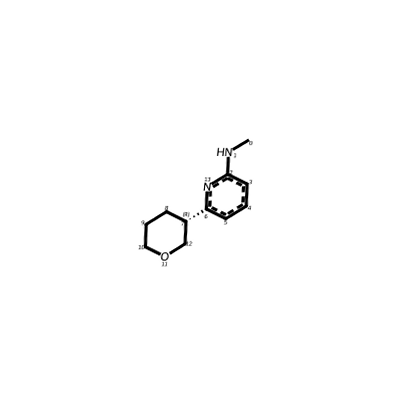 CNc1cccc([C@H]2CCCOC2)n1